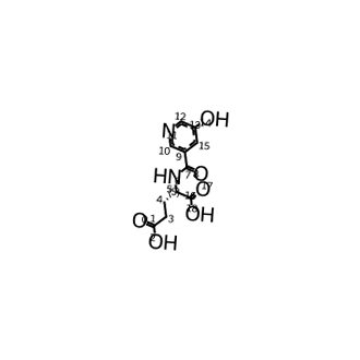 O=C(O)CC[C@H](NC(=O)c1cncc(O)c1)C(=O)O